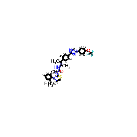 C/C(NC(=O)/N=c1\scc(C)n1-c1c(C)cccc1C)=C(/C)c1ccc(-c2ncn(-c3ccc(OC(F)(F)F)cc3)n2)cc1